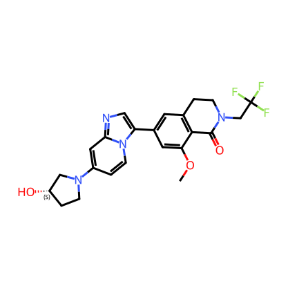 COc1cc(-c2cnc3cc(N4CC[C@H](O)C4)ccn23)cc2c1C(=O)N(CC(F)(F)F)CC2